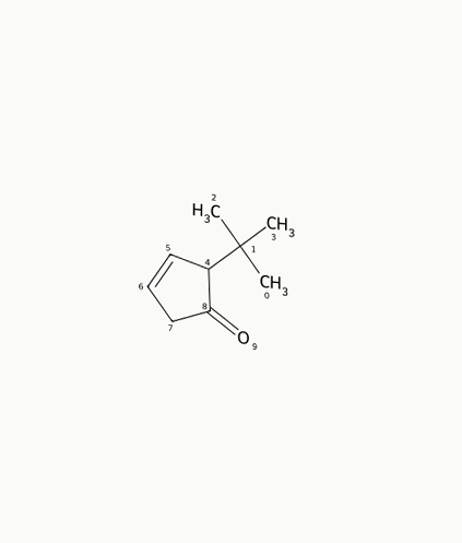 CC(C)(C)C1C=CCC1=O